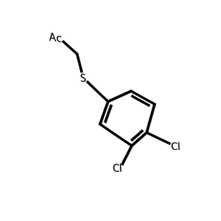 CC(=O)CSc1ccc(Cl)c(Cl)c1